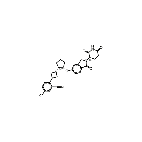 N#Cc1cc(Cl)ccc1C1CN([C@@H]2CCC[C@@H]2Oc2ccc3c(c2)CN([C@@H]2CCC(=O)NC2=O)C3=O)C1